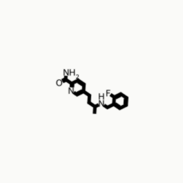 CC(CCc1ccc(C(N)=O)nc1)NCc1ccccc1F